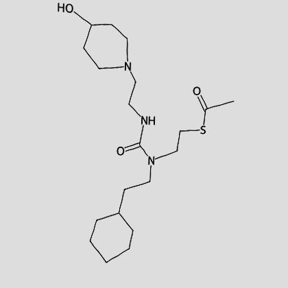 CC(=O)SCCN(CCC1CCCCC1)C(=O)NCCN1CCC(O)CC1